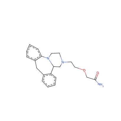 NC(=O)COCCN1CCN2c3ccccc3Cc3ccccc3C2C1